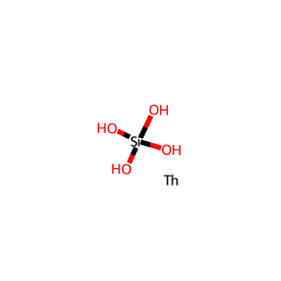 O[Si](O)(O)O.[Th]